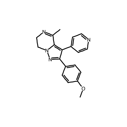 COc1ccc(-c2nn3c(c2-c2ccncc2)C(C)=NCC3)cc1